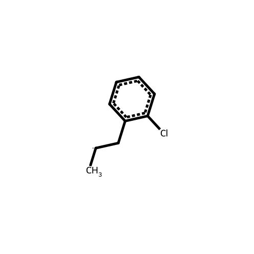 C[CH]Cc1ccccc1Cl